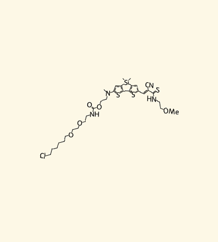 COCCNC(=S)/C(C#N)=C/c1cc2c(s1)-c1sc(N(C)CCOC(=O)NCCOCCOCCCCCCCl)cc1[Si]2(C)C